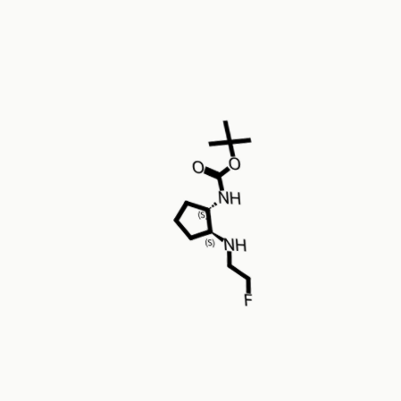 CC(C)(C)OC(=O)N[C@H]1CCC[C@@H]1NCCF